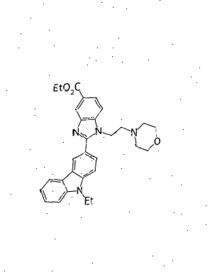 CCOC(=O)c1ccc2c(c1)nc(-c1ccc3c(c1)c1ccccc1n3CC)n2CCN1CCOCC1